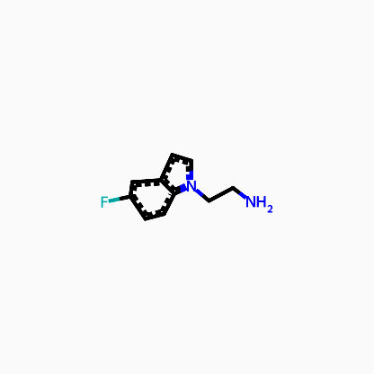 NCCn1ccc2cc(F)ccc21